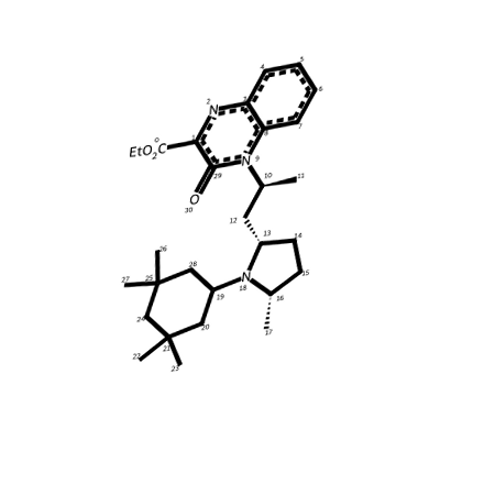 CCOC(=O)c1nc2ccccc2n([C@@H](C)C[C@@H]2CC[C@H](C)N2C2CC(C)(C)CC(C)(C)C2)c1=O